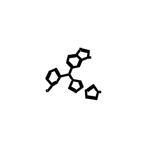 Clc1cccc(C(c2ccc3nc[nH]c3c2)n2ccnc2)c1.c1c[nH]cn1